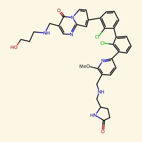 COc1nc(-c2cccc(-c3cccc(-c4ccn5c(=O)c(CNCCCO)cnc5c4)c3Cl)c2Cl)ccc1CNCC1CCC(=O)N1